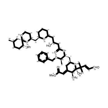 COC(=O)/C=C1\C[C@@H](C[C@@H](OC(=O)C[C@H](O)CC2CCC[C@H](C[C@@H]3CCO[C@@]4(C[C@H](C)CC[C@H]4C(C)C)O3)O2)[C@@H](C)OCc2ccccc2)O[C@@](O)(C(C)(C)/C=C/C=O)[C@H]1OC(C)=O